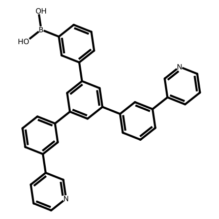 OB(O)c1cccc(-c2cc(-c3cccc(-c4cccnc4)c3)cc(-c3cccc(-c4cccnc4)c3)c2)c1